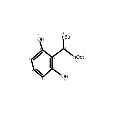 CCCCCCCCC(CCCC)c1c(O)cccc1O